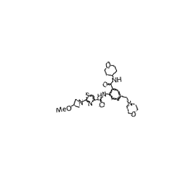 COC1CN(c2nc(C(=O)Nc3ccc(CN4CCOCC4)cc3C(=O)NC3CCOCC3)cs2)C1